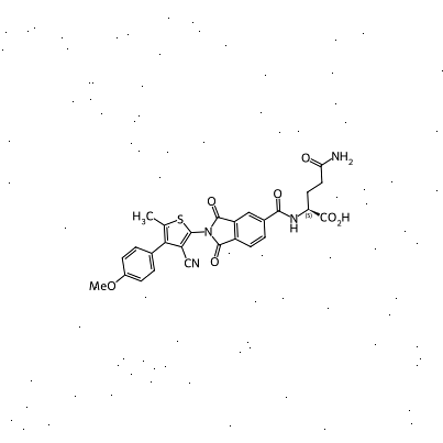 COc1ccc(-c2c(C)sc(N3C(=O)c4ccc(C(=O)N[C@@H](CCC(N)=O)C(=O)O)cc4C3=O)c2C#N)cc1